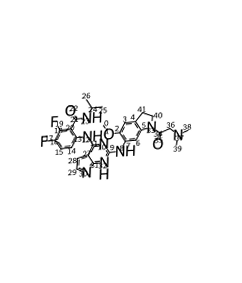 COc1cc2c(cc1Nc1nc(Nc3ccc(F)c(F)c3C(=O)NC(C)C)c3ccnc-3[nH]1)N(C(=O)CN(C)C)CC2